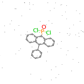 O=P(Cl)(Cl)c1c2ccccc2c(-c2ccccc2)c2ccccc12